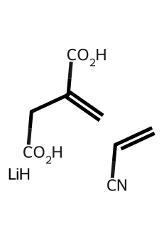 C=C(CC(=O)O)C(=O)O.C=CC#N.[LiH]